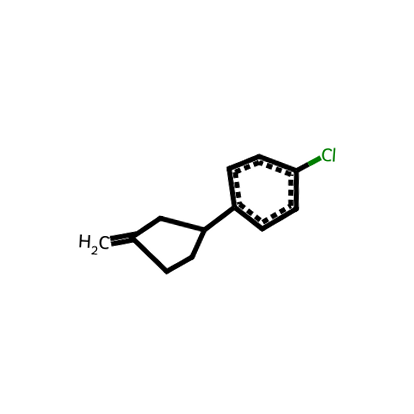 C=C1CCC(c2ccc(Cl)cc2)C1